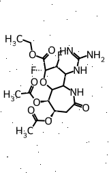 CCOC(=O)[C@]1(F)OC2C(NC(=O)C[C@@H](OC(C)=O)[C@H]2OC(C)=O)C(NC(=N)N)C1F